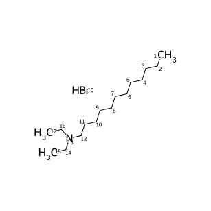 Br.CCCCCCCCCCCCN(CC)CC